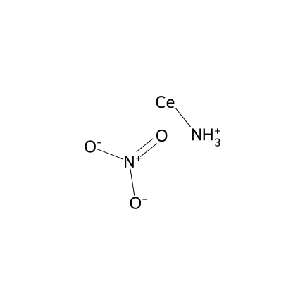 O=[N+]([O-])[O-].[NH3+][Ce]